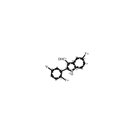 O=Cc1c(-c2cc(F)ccc2F)[nH]c2ccc(F)cc12